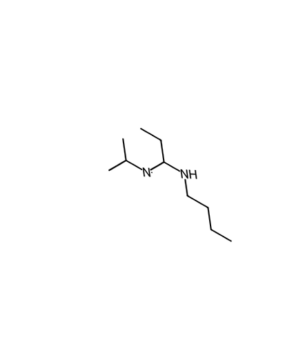 CCCCNC(CC)[N]C(C)C